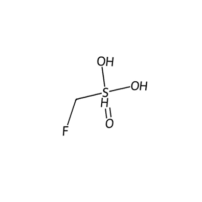 O=[SH](O)(O)CF